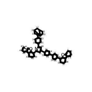 c1ccc2c(c1)oc1c(-c3ccc(-c4ccc(-c5cc(-c6ccc(C78CC9CC(CC(C9)C7)C8)cc6)nc(-c6cccc7c6oc6ccccc67)c5)cc4)cc3)cccc12